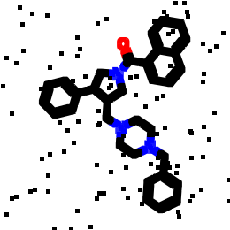 O=C(c1cccc2ccccc12)N1CC(CN2CCN(Cc3ccccc3)CC2)C(c2ccccc2)C1